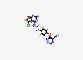 N#Cc1nccnc1Oc1ccc(CCNc2ncnc3scc(Cl)c23)cc1